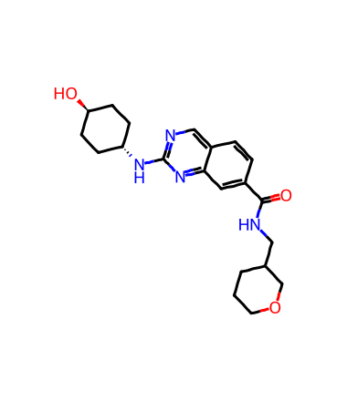 O=C(NCC1CCCOC1)c1ccc2cnc(N[C@H]3CC[C@H](O)CC3)nc2c1